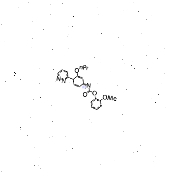 CCCOC1=C/C(=N/C(=O)Oc2ccccc2OC)C=CC1c1cccnn1